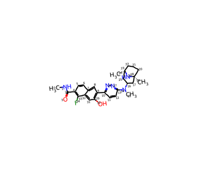 CNC(=O)c1ccc2cc(-c3ccc(N(C)[C@@H]4C[C@]5(C)CCC[C@](C)(C4)N5)nn3)c(O)cc2c1F